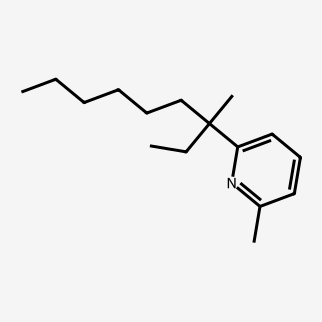 CCCCCCC(C)(CC)c1cccc(C)n1